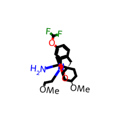 COCCN1C(=O)C2(N=C1N)c1cc(OC(F)F)ccc1C[C@]21CC[C@@H](OC)CC1